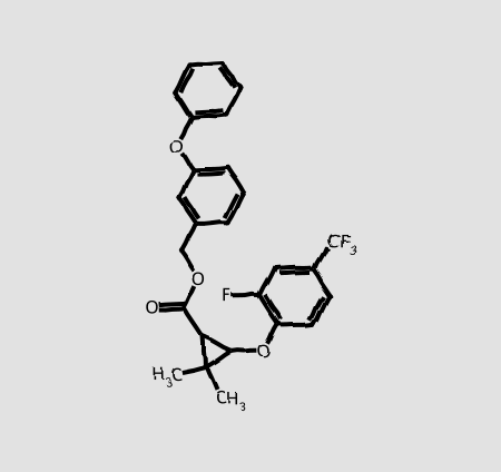 CC1(C)C(Oc2ccc(C(F)(F)F)cc2F)C1C(=O)OCc1cccc(Oc2ccccc2)c1